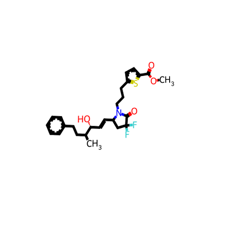 COC(=O)c1ccc(CCCN2C(=O)C(F)(F)CC2/C=C/[C@@H](O)C(C)CCc2ccccc2)s1